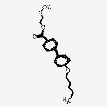 CCCCCOc1ccc(-c2ccc(C(=O)OCCOC)cc2)cc1